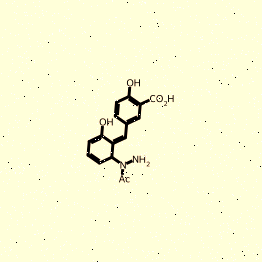 CC(=O)N(N)C1C=CC=C(O)C1=Cc1ccc(O)c(C(=O)O)c1